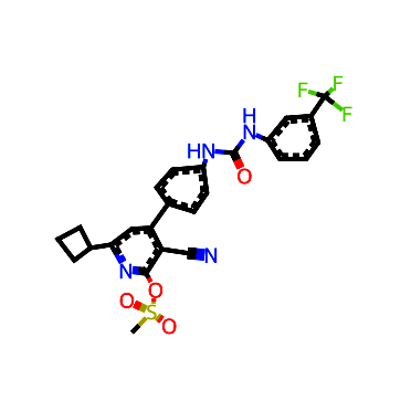 CS(=O)(=O)Oc1nc(C2CCC2)cc(-c2ccc(NC(=O)Nc3cccc(C(F)(F)F)c3)cc2)c1C#N